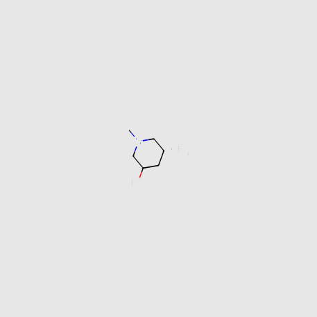 C.CN1CCCC(O)C1